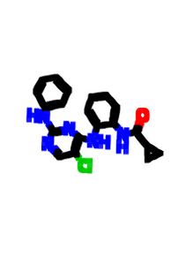 O=C(Nc1ccccc1Nc1nc(Nc2ccccc2)ncc1Cl)C1CC1